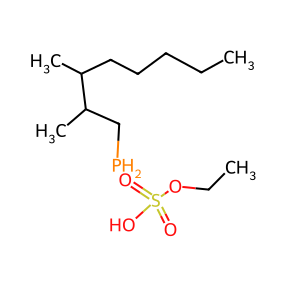 CCCCCC(C)C(C)CP.CCOS(=O)(=O)O